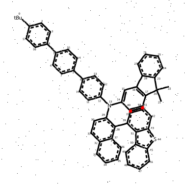 CC(C)(C)c1ccc(-c2ccc(-c3ccc(N(C4=CC5=C(CC4)C(C)(C)c4ccccc45)c4ccc5ccccc5c4-c4c#ccc5sc6ccccc6c45)cc3)cc2)cc1